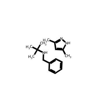 CC(C)(C)NCc1ccccc1.Cc1cc(C)[nH]n1